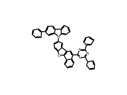 C1=CCC(c2nc(-c3ccccc3)nc(-c3cc4c5cc(-n6c7ccccc7c7ccc(-c8ccccc8)cc76)ccc5oc4c4ccccc34)n2)C=C1